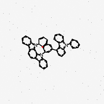 C1=CCC(n2c3ccccc3c3ccc4c5ccccc5n(-c5cccc(-c6cccc7c6c6ccccc6n7-c6ccccc6)c5)c4c32)C=C1